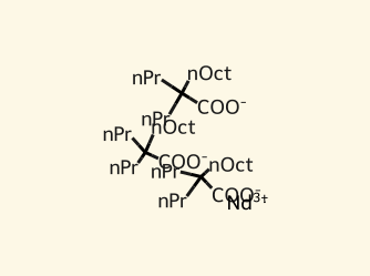 CCCCCCCCC(CCC)(CCC)C(=O)[O-].CCCCCCCCC(CCC)(CCC)C(=O)[O-].CCCCCCCCC(CCC)(CCC)C(=O)[O-].[Nd+3]